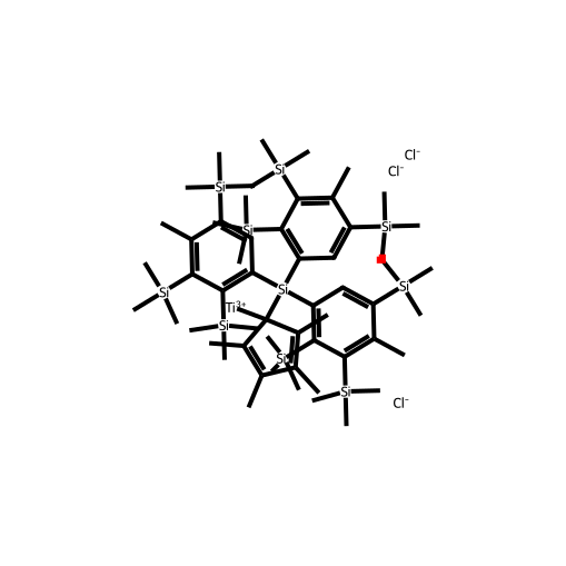 CC1=C(C)[C]([Ti+3])([Si](c2cc([Si](C)(C)C)c(C)c([Si](C)(C)C)c2[Si](C)(C)C)(c2cc([Si](C)(C)C)c(C)c([Si](C)(C)C)c2[Si](C)(C)C)c2cc([Si](C)(C)C)c(C)c([Si](C)(C)C)c2[Si](C)(C)C)C(C)=C1C.[Cl-].[Cl-].[Cl-]